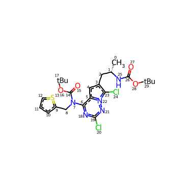 C[C@@H](Cc1cc2c(N(Cc3cccs3)C(=O)OC(C)(C)C)nc(Cl)nn2c1Cl)NC(=O)OC(C)(C)C